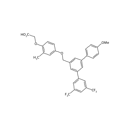 COc1ccc(-c2cc(COc3ccc(OCC(=O)O)c(C)c3)cc(-c3cc(C(F)(F)F)cc(C(F)(F)F)c3)c2)cc1